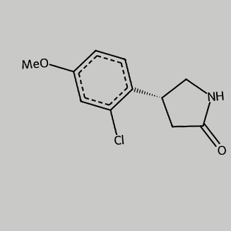 COc1ccc([C@@H]2CNC(=O)C2)c(Cl)c1